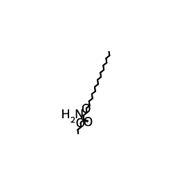 CCCCCCCCCCCCCCCCOC[C@H](N)C(=O)OCCC